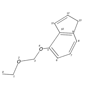 CCOCOc1cccc2c1C=CC2